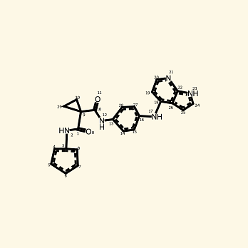 O=C(Nc1ccccc1)C1(C(=O)Nc2ccc(Nc3ccnc4[nH]ccc34)cc2)CC1